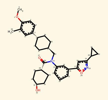 COc1ccc([C@H]2CC[C@H](CN(c3cccc(-c4cc(C5CC5)no4)c3)C(=O)[C@H]3CC[C@H](O)CC3)CC2)cc1C